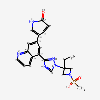 CS(=O)(=O)N1CC(CC#N)(n2cnc(-c3cc(-c4ccc(=O)[nH]c4)cc4ncccc34)n2)C1